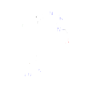 Cc1ncnc(N2CCOc3ccc(-c4ccc5sc(N)nc5c4)cc3C2)c1Cc1ccc(F)cc1